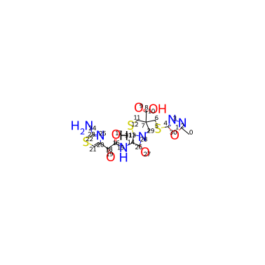 Cc1nnc(SCC2(C(=O)O)CS[C@@H]3C(NC(=O)C(=O)c4csc(N)n4)C(=O)N3C2)o1